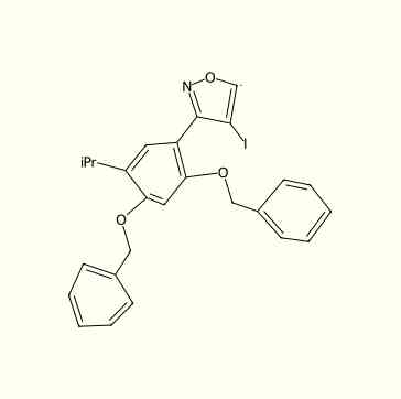 CC(C)c1cc(-c2no[c]c2I)c(OCc2ccccc2)cc1OCc1ccccc1